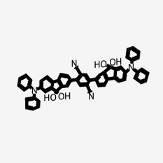 N#Cc1cc(-c2ccc3c(c2)C(O)(O)c2cc(N(c4ccccc4)c4ccccc4)ccc2-3)c(C#N)cc1-c1ccc2c(c1)C(O)(O)c1cc(N(c3ccccc3)c3ccccc3)ccc1-2